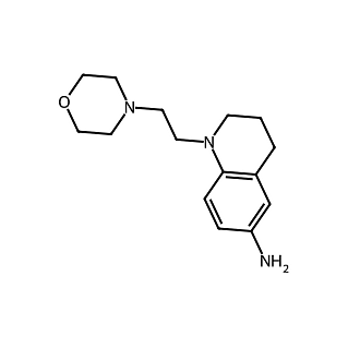 Nc1ccc2c(c1)CCCN2CCN1CCOCC1